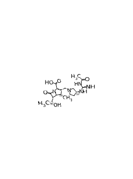 CC(=O)NC(=N)N[C@H]1CCN(CC2=C(C(=O)O)N3C(=O)C([C@@H](C)O)C3[C@H]2C)C1